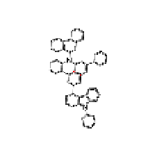 c1ccc(-c2cccc(N(c3ccccc3-c3cccc(-c4cccc5c4c4ccccc4n5-c4ccccc4)c3)c3cc4ccccc4c4ccccc34)c2)cc1